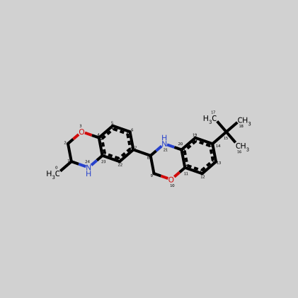 CC1COc2ccc(C3COc4ccc(C(C)(C)C)cc4N3)cc2N1